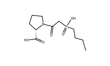 CCCCP(=O)(O)CC(=O)N1CCC[C@H]1C(=O)O